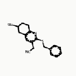 CC(C)(C)C1CCc2nc(SCc3ccccc3)c(CC#N)cc2C1